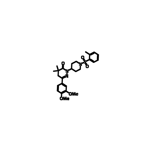 COc1ccc(C2=NN(C3CCN(S(=O)(=O)c4ccccc4C)CC3)C(=O)C(C)(C)C2)cc1OC